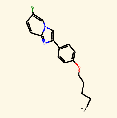 CCCCCOc1ccc(-c2cn3cc(Br)ccc3n2)cc1